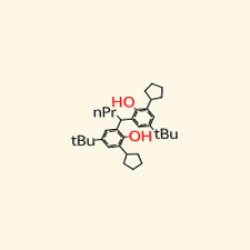 CCCC(c1cc(C(C)(C)C)cc(C2CCCC2)c1O)c1cc(C(C)(C)C)cc(C2CCCC2)c1O